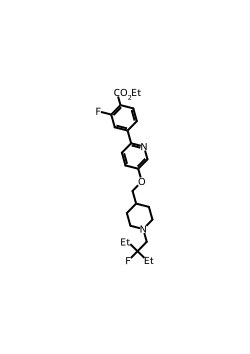 CCOC(=O)c1ccc(-c2ccc(OCC3CCN(CC(F)(CC)CC)CC3)cn2)cc1F